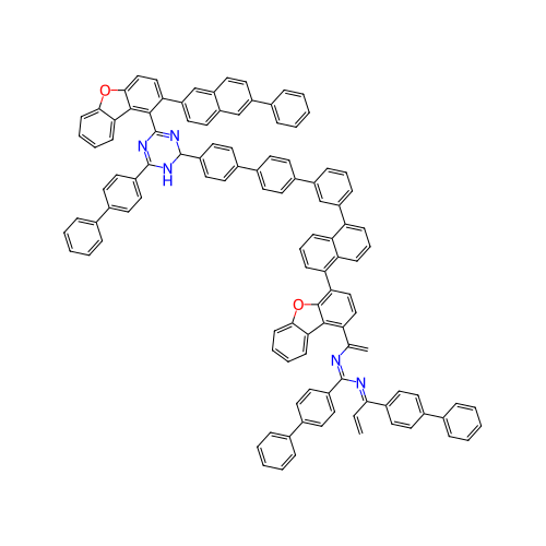 C=C/C(=N\C(=N/C(=C)c1ccc(-c2cccc3c(-c4cccc(-c5ccc(-c6ccc(C7N=C(c8c(-c9ccc%10cc(-c%11ccccc%11)ccc%10c9)ccc9oc%10ccccc%10c89)N=C(c8ccc(-c9ccccc9)cc8)N7)cc6)cc5)c4)cccc23)c2oc3ccccc3c12)c1ccc(-c2ccccc2)cc1)c1ccc(-c2ccccc2)cc1